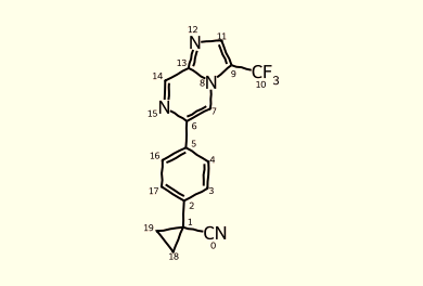 N#CC1(c2ccc(-c3cn4c(C(F)(F)F)cnc4cn3)cc2)CC1